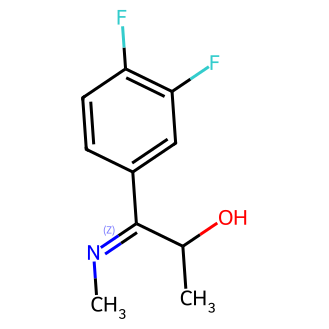 C/N=C(/c1ccc(F)c(F)c1)C(C)O